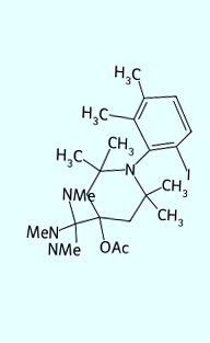 CNC(NC)(NC)C1(OC(C)=O)CC(C)(C)N(c2c(I)ccc(C)c2C)C(C)(C)C1